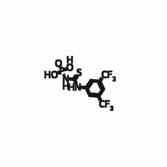 O=P(O)(O)NC(=S)Nc1cc(C(F)(F)F)cc(C(F)(F)F)c1